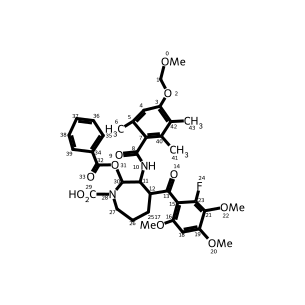 COCOc1cc(C)c(C(=O)NC2C(C(=O)c3c(OC)cc(OC)c(OC)c3F)CCCN(C(=O)O)C2OC(=O)c2ccccc2)c(C)c1C